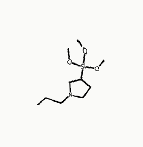 CCCN1CCC([Si](OC)(OC)OC)C1